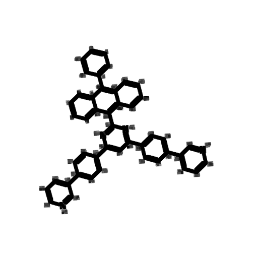 c1ccc(-c2c3ccccc3c(-c3nc(-c4ccc(-c5cccnc5)cc4)cc(-c4ccc(-c5cccnc5)cc4)n3)c3ccccc23)cc1